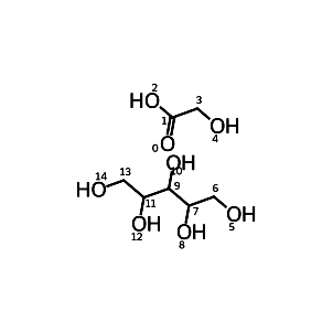 O=C(O)CO.OCC(O)C(O)C(O)CO